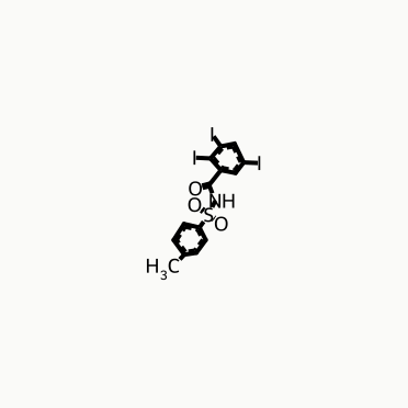 Cc1ccc(S(=O)(=O)NC(=O)c2cc(I)cc(I)c2I)cc1